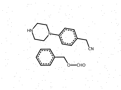 N#CCc1ccc(N2CCNCC2)cc1.O=COCc1ccccc1